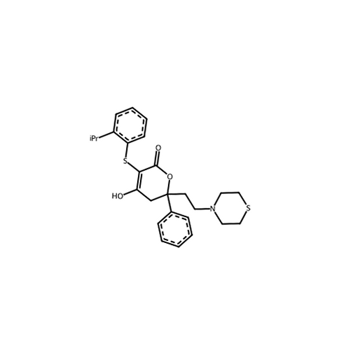 CC(C)c1ccccc1SC1=C(O)CC(CCN2CCSCC2)(c2ccccc2)OC1=O